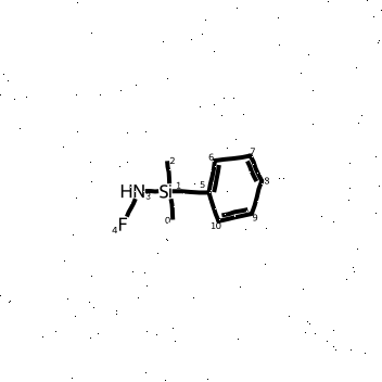 C[Si](C)(NF)c1ccccc1